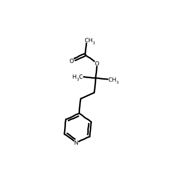 CC(=O)OC(C)(C)CCc1ccncc1